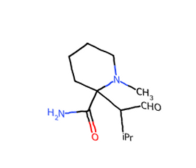 CC(C)C(C=O)C1(C(N)=O)CCCCN1C